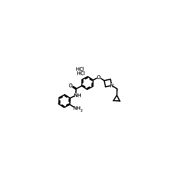 Cl.Cl.Nc1ccccc1NC(=O)c1ccc(OC2CN(CC3CC3)C2)cc1